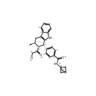 C[C@H]1Cc2c([nH]c3ccccc23)[C@H](c2ccc(C(=O)NC34CC(C3)C4)cc2)N1C(=O)CCl